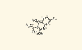 CC(C)c1c(O)nc2cc(F)ccc2c1O